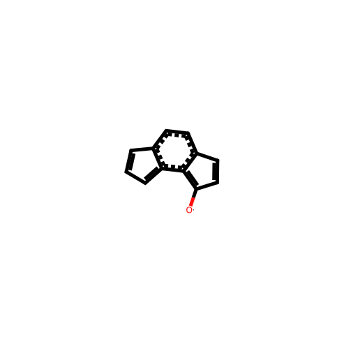 [O]C1=c2c(ccc3c2=CC=C3)C=C1